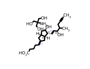 CC#CCC(C)[C@H](O)/C=C/[C@@H]1[C@H]2C/C(=C/CCCC(=O)O)C[C@H]2C[C@H]1O.NC(CO)(CO)CO